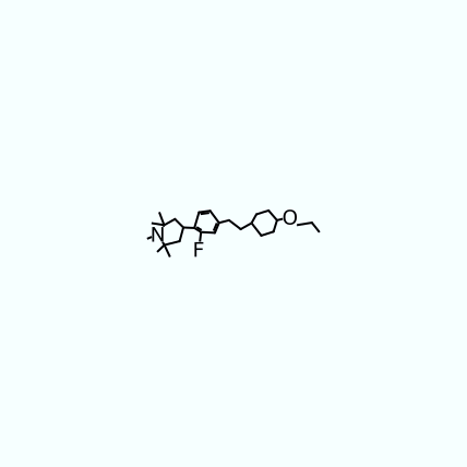 CCCOC1CCC(CCc2ccc(C3CC(C)(C)N(C)C(C)(C)C3)c(F)c2)CC1